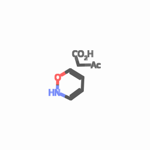 C1=CNOC=C1.CC(=O)CC(=O)O